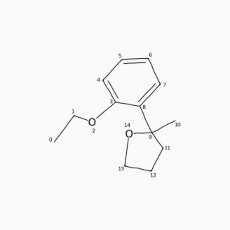 CCOc1ccccc1C1(C)CCCO1